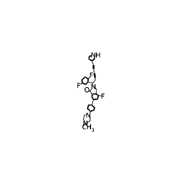 CN1CCN(c2ccc(-c3cc(F)c4c(c3)C(=O)N(C(CC#CC#Cc3cc[nH]c3)c3cc(F)ccc3F)C4)cc2)CC1